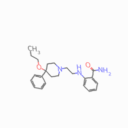 CCCOC1(c2ccccc2)CCN(CCNc2ccccc2C(N)=O)CC1